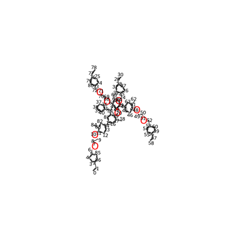 C=Cc1ccc(COCCOc2ccc(-c3cc(C)c(OCCOCc4ccc(C=C)cc4)c(C(c4ccccc4)c4cc(-c5ccc(OCCOCc6ccc(C=C)cc6)c(C)c5)cc(C)c4OCCOCc4ccc(C=C)cc4)c3)cc2C)cc1